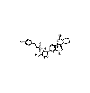 Cc1nc(-c2onc(C)c2NS(=O)(=O)CCc2ccc(Cl)cc2)ccc1NC(=O)C1CCCCC1C(=O)O